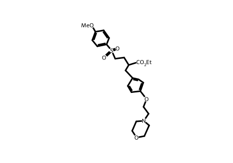 CCOC(=O)C(CCS(=O)(=O)c1ccc(OC)cc1)Cc1ccc(OCCN2CCOCC2)cc1